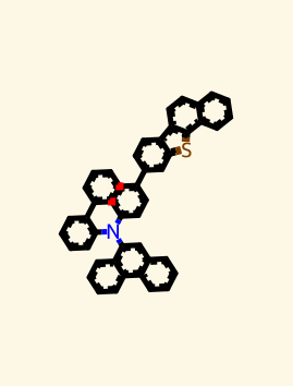 c1ccc(-c2ccccc2N(c2ccc(-c3ccc4c(c3)sc3c5ccccc5ccc43)cc2)c2cc3ccccc3c3ccccc23)cc1